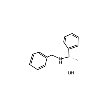 C[C@H](NCc1ccccc1)c1ccccc1.[LiH]